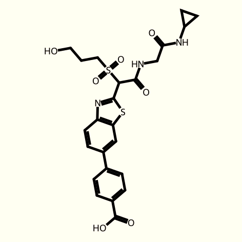 O=C(CNC(=O)C(c1nc2ccc(-c3ccc(C(=O)O)cc3)cc2s1)S(=O)(=O)CCCO)NC1CC1